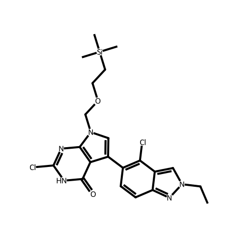 CCn1cc2c(Cl)c(-c3cn(COCC[Si](C)(C)C)c4nc(Cl)[nH]c(=O)c34)ccc2n1